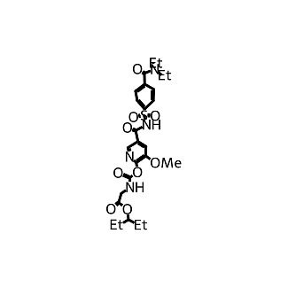 CCC(CC)OC(=O)CNC(=O)Oc1ncc(C(=O)NS(=O)(=O)c2ccc(C(=O)N(CC)CC)cc2)cc1OC